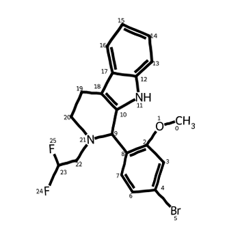 COc1cc(Br)ccc1C1c2[nH]c3ccccc3c2CCN1CC(F)F